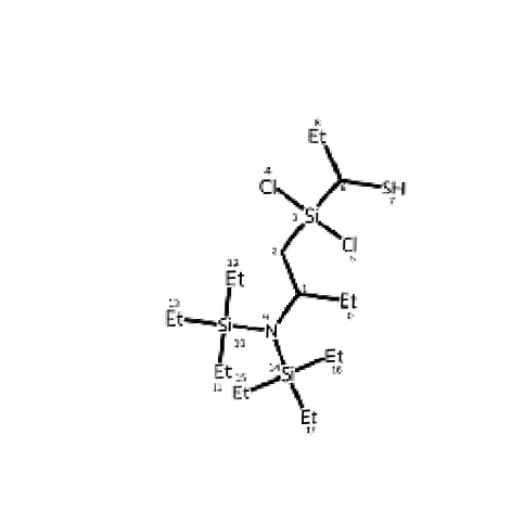 CCC(C[Si](Cl)(Cl)C(S)CC)N([Si](CC)(CC)CC)[Si](CC)(CC)CC